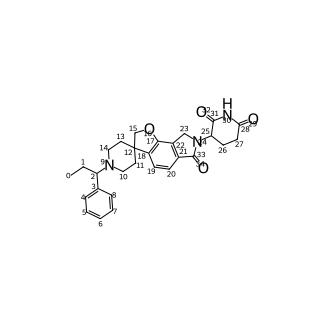 CCC(c1ccccc1)N1CCC2(CC1)COc1c2ccc2c1CN(C1CCC(=O)NC1=O)C2=O